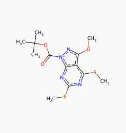 COc1nn(C(=O)OC(C)(C)C)c2nc(SC)nc(SC)c12